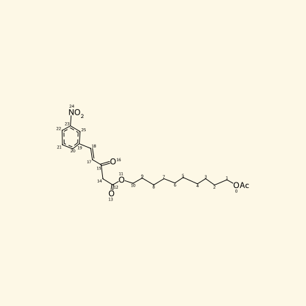 CC(=O)OCCCCCCCCCCOC(=O)CC(=O)C=Cc1cccc([N+](=O)[O-])c1